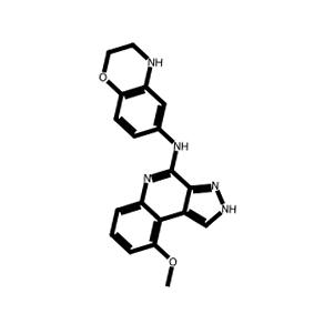 COc1cccc2nc(Nc3ccc4c(c3)NCCO4)c3n[nH]cc3c12